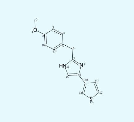 COc1ccc(Cc2nc(-c3ccsc3)c[nH]2)cc1